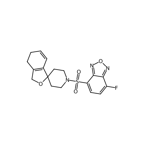 O=S(=O)(c1ccc(F)c2nonc12)N1CCC2(CC1)OCC1=C2C=CCC1